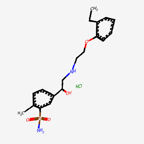 CCc1ccccc1OCCNCC(O)c1ccc(C)c(S(N)(=O)=O)c1.Cl